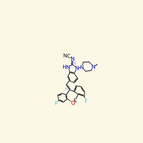 CN1CCN(n2/c(=N/C#N)[nH]c3cc(/C=C4/c5ccc(F)cc5OCc5c(F)cccc54)ccc32)CC1